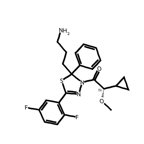 CO[C@H](C(=O)N1N=C(c2cc(F)ccc2F)SC1(CCCN)c1ccccc1)C1CC1